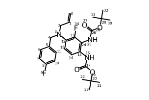 C=CCN(Cc1ccc(F)cc1)c1ccc(NC(=O)OC(C)(C)C)c(NC(=O)OC(C)(C)C)c1F